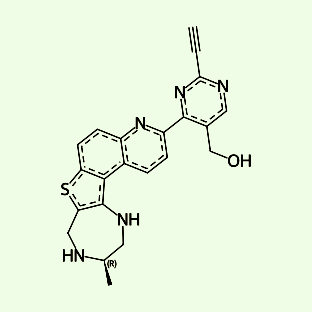 C#Cc1ncc(CO)c(-c2ccc3c(ccc4sc5c(c43)NC[C@@H](C)NC5)n2)n1